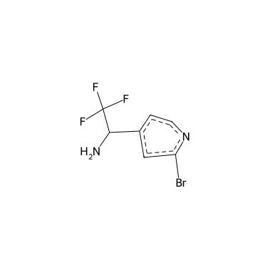 NC(c1ccnc(Br)c1)C(F)(F)F